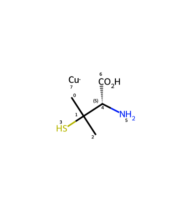 CC(C)(S)[C@@H](N)C(=O)O.[Cu]